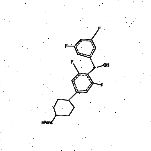 CCCCCC1CCC(c2cc(F)c(C(O)c3cc(F)cc(F)c3)c(F)c2)CC1